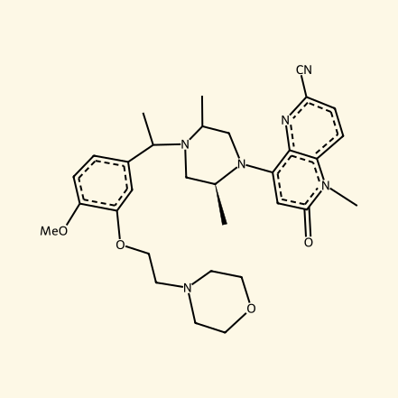 COc1ccc(C(C)N2C[C@H](C)N(c3cc(=O)n(C)c4ccc(C#N)nc34)CC2C)cc1OCCN1CCOCC1